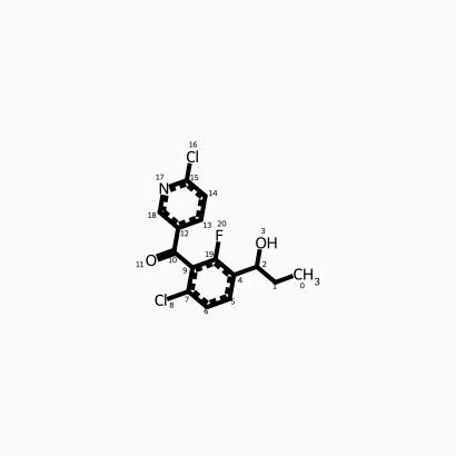 CCC(O)c1ccc(Cl)c(C(=O)c2ccc(Cl)nc2)c1F